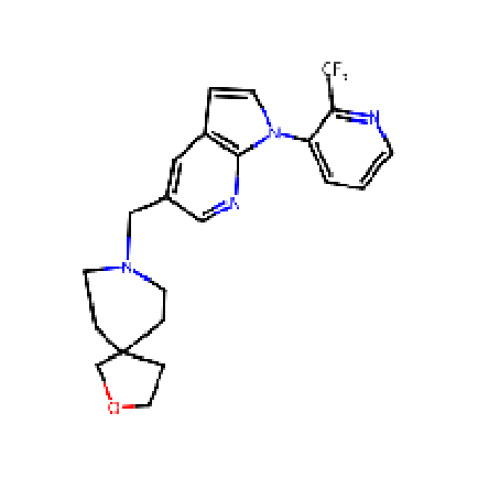 FC(F)(F)c1ncccc1-n1ccc2cc(CN3CCC4(CCOC4)CC3)cnc21